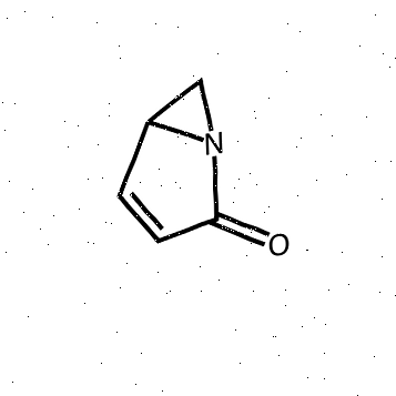 O=C1C=CC2CN12